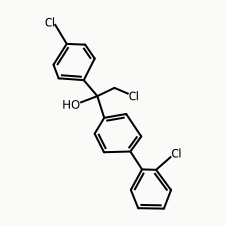 OC(CCl)(c1ccc(Cl)cc1)c1ccc(-c2ccccc2Cl)cc1